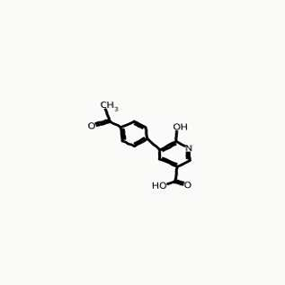 CC(=O)c1ccc(-c2cc(C(=O)O)cnc2O)cc1